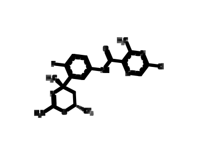 Cc1nc(Cl)cnc1C(=O)Nc1ccc(F)c([C@]2(C)C[C@H](C(F)(F)F)OC(N)=N2)c1